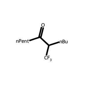 CCCCCC(=O)C(CCCC)C(F)(F)F